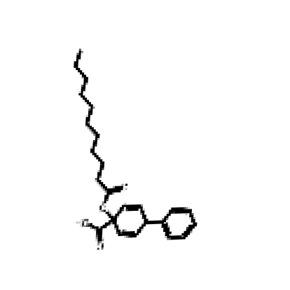 CCCCCCCCCCC(=O)OC1(C(=O)O)C=CC(c2ccccc2)C=C1